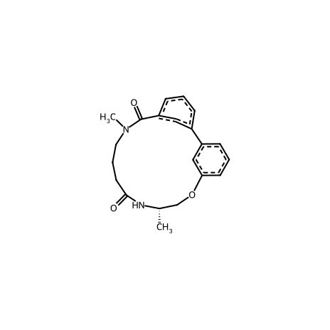 C[C@H]1COc2cccc(c2)-c2cccc(c2)C(=O)N(C)CCCC(=O)N1